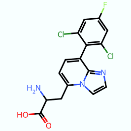 NC(Cc1ccc(-c2c(Cl)cc(F)cc2Cl)c2nccn12)C(=O)O